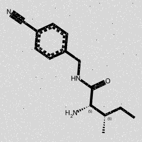 CC[C@H](C)[C@H](N)C(=O)NCc1ccc(C#N)cc1